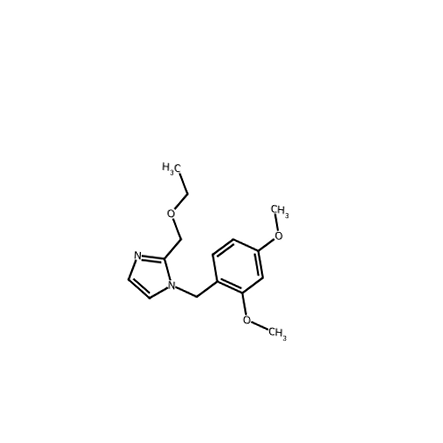 CCOCc1nccn1Cc1ccc(OC)cc1OC